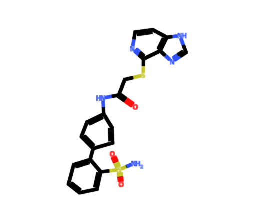 NS(=O)(=O)c1ccccc1-c1ccc(NC(=O)CSc2nccc3[nH]cnc23)cc1